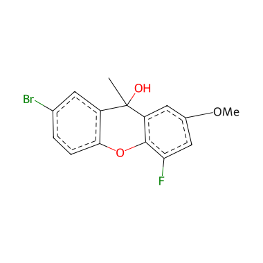 COc1cc(F)c2c(c1)C(C)(O)c1cc(Br)ccc1O2